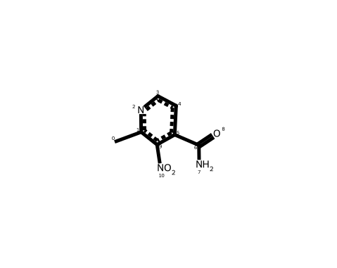 Cc1nccc(C(N)=O)c1[N+](=O)[O-]